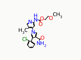 COCCOC(=O)Nc1cc(-n2cc(C(N)=O)c(-c3ccccc3Cl)c2)c(C)cn1